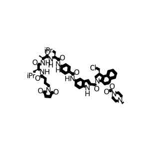 CC(C)C[C@H](NC(=O)CCCN1C(=O)C=CC1=O)C(=O)N[C@@H](C)C(=O)N[C@@H](CC(C)C)C(=O)Nc1ccc(C(=O)Nc2ccc3[nH]c(C(=O)N4C[C@@H](CCl)c5c4cc(OC(=O)N4CCN(C)CC4)c4ccccc54)cc3c2)cc1